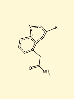 NC(=O)Cc1cccc2ncc(F)cc12